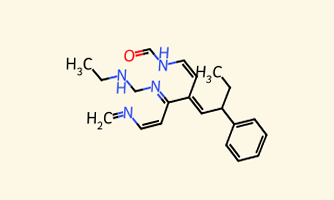 C=N/C=C\C(=NCNCC)C(/C=C\NC=O)=C/C(CC)c1ccccc1